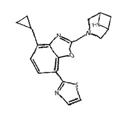 c1csc(-c2ccc(C3CC3)c3nc(N4CC5CC(C4)N5)oc23)n1